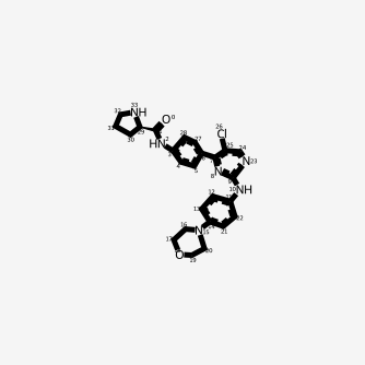 O=C(Nc1ccc(-c2nc(Nc3ccc(N4CCOCC4)cc3)ncc2Cl)cc1)[C@H]1CCCN1